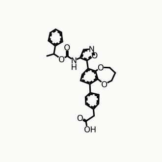 CC(OC(=O)Nc1cnoc1-c1ccc(-c2ccc(CC(=O)O)cc2)c2c1OCCCO2)c1ccccc1